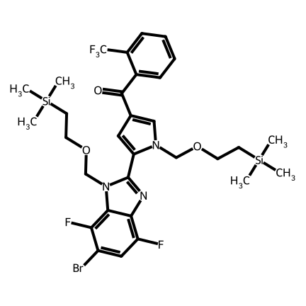 C[Si](C)(C)CCOCn1cc(C(=O)c2ccccc2C(F)(F)F)cc1-c1nc2c(F)cc(Br)c(F)c2n1COCC[Si](C)(C)C